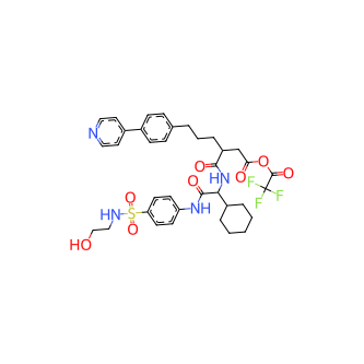 O=C(CC(CCCc1ccc(-c2ccncc2)cc1)C(=O)NC(C(=O)Nc1ccc(S(=O)(=O)NCCO)cc1)C1CCCCC1)OC(=O)C(F)(F)F